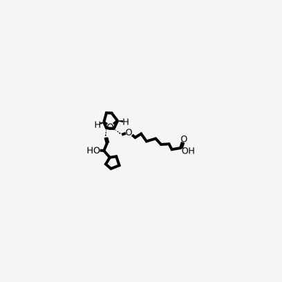 O=C(O)CCCCCCCOC[C@@H]1[C@H](/C=C/C(O)C2CCCC2)[C@@H]2CC[C@H]1O2